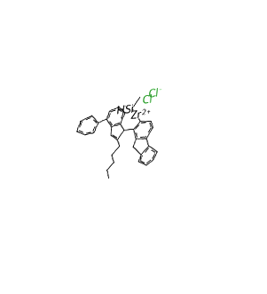 CCCCCC1=Cc2c(-c3ccccc3)cccc2C1c1[c]([Zr+2][SiH](C)C)ccc2c1Cc1ccccc1-2.[Cl-].[Cl-]